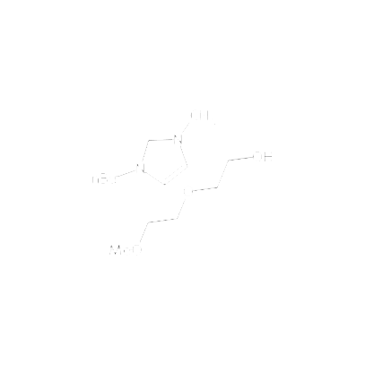 CCCCN1C=CN(C)C1.COCCOCCO